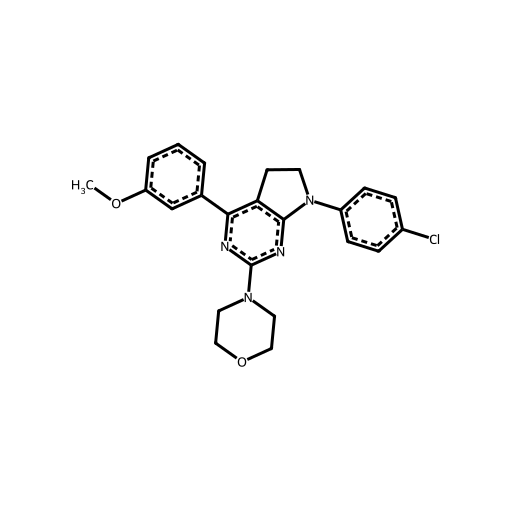 COc1cccc(-c2nc(N3CCOCC3)nc3c2CCN3c2ccc(Cl)cc2)c1